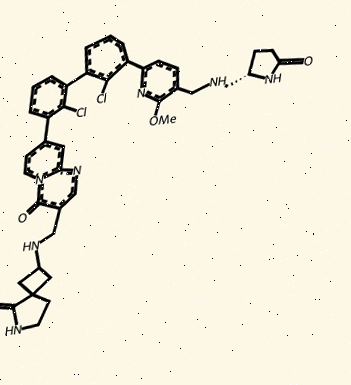 COc1nc(-c2cccc(-c3cccc(-c4ccn5c(=O)c(CNC6CC7(CCNC7=O)C6)cnc5c4)c3Cl)c2Cl)ccc1CNC[C@@H]1CCC(=O)N1